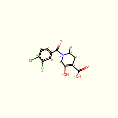 CC1CC(C(=O)O)=C(O)CN1C(=O)c1ccc(Cl)c(Cl)c1